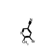 Cc1ncc(C#N)cc1Br